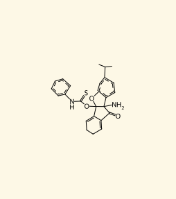 CC(C)c1ccc2c(c1)OC1(OC(=S)Nc3ccccc3)C3=CCCC=C3C(=O)C21N